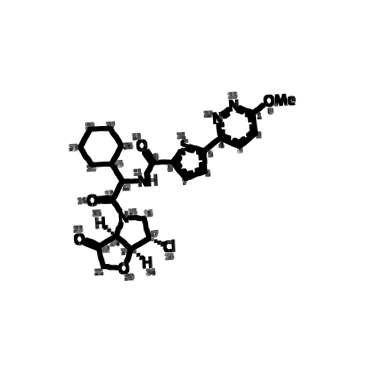 COc1ccc(-c2ccc(C(=O)NC(C(=O)N3C[C@H](Cl)[C@H]4OCC(=O)[C@H]43)C3CCCCC3)s2)nn1